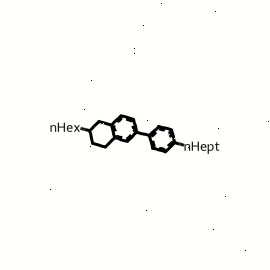 CCCCCCCc1ccc(-c2ccc3c(c2)CCC(CCCCCC)C3)cc1